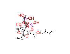 CCCCOCCOC(CC)(OC)C(CO)(COP(O)O)COP(O)O